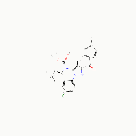 Cc1ccc(C(=O)c2nn(-c3ccc(Cl)cc3)c(N(CCC(C)(C)C(=O)O)C(=O)OC(C)(C)C)c2C#N)cc1